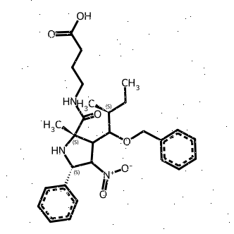 CC[C@H](C)C(OCc1ccccc1)C1C([N+](=O)[O-])[C@H](c2ccccc2)N[C@]1(C)C(=O)NCCCC(=O)O